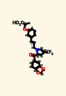 C[C@H](Oc1cccc(/C=C/Cn2cc(C(F)(F)F)cc2C(=O)c2ccc3c(c2)OCO3)c1)C(=O)O